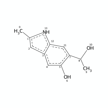 Cc1cc2cc(O)c(C(C)O)cc2[nH]1